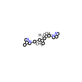 Cc1cc(-c2ccc3c4ccccc4c4cccnc4c3n2)ccc1-c1ccc2c(c1)c1ccccc1c1cc3c(cc21)C(C)(C)c1ccc(-c2ccc4ccc5cccnc5c4n2)cc1-3